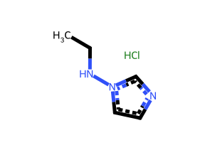 CCNn1ccnc1.Cl